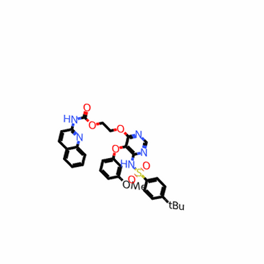 COc1cccc(Oc2c(NS(=O)(=O)c3ccc(C(C)(C)C)cc3)ncnc2OCCOC(=O)Nc2ccc3ccccc3n2)c1